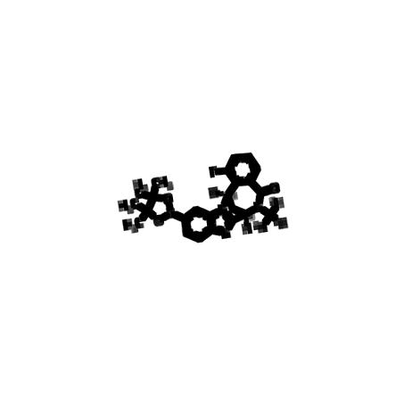 [2H]C([2H])([2H])N1C(=O)c2cccc(F)c2[C@H]2C[C@@H]1c1nc3ccc(B4OC(C)(C)C(C)(C)O4)cc3n12